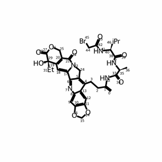 C=C(CCc1c2c(nc3cc4c(cc13)OCO4)-c1cc3c(c(=O)n1C2)COC(=O)[C@]3(O)CC)NC(=O)[C@H](C)NC(=O)[C@@H](NC(=O)CBr)C(C)C